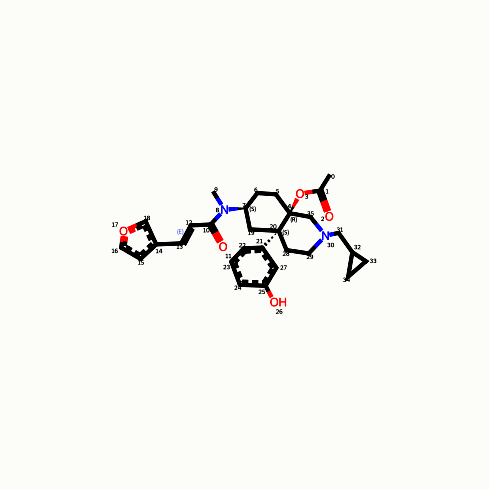 CC(=O)O[C@]12CC[C@H](N(C)C(=O)/C=C/c3ccoc3)C[C@]1(c1cccc(O)c1)CCN(CC1CC1)C2